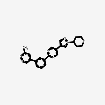 Cc1cc(-c2cccc(-c3ncc(-c4cnn(C5CCOCC5)c4)cn3)c2)cnn1